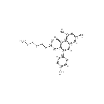 CCCCCCC(=O)Oc1c(-c2ccc(O)cc2)oc2cc(O)cc(O)c2c1=O